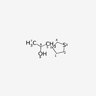 C1CCSC1.CC(C)O